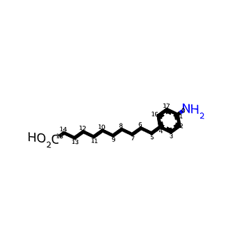 Nc1ccc(CCCCCCCCCCC(=O)O)cc1